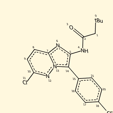 CC(C)(C)CC(=O)Nc1nc2ccc(Cl)nn2c1-c1ccc(C(F)(F)F)cc1